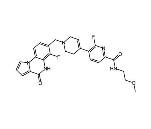 COCCNC(=O)c1ccc(C2=CCN(Cc3ccc4c([nH]c(=O)c5cccn54)c3F)CC2)c(F)n1